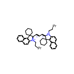 CC(C)CCN1/C(=C/C=C/C2=[N+](CCC(C)C)c3ccc4ccccc4c3C23CCCCC3)C2(CCCCC2)c2c1ccc1ccccc21